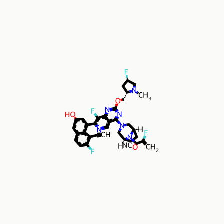 C#Cc1c(F)ccc2cc(O)cc(-c3ncc4c(N5C[C@H]6CC(C#N)[C@@H](C5)N6C(=O)C(=C)F)nc(OC[C@@H]5C[C@@H](F)CN5C)nc4c3F)c12